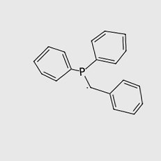 [CH](c1ccccc1)P(c1ccccc1)c1ccccc1